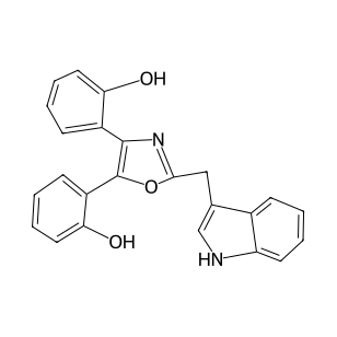 Oc1ccccc1-c1nc(Cc2c[nH]c3ccccc23)oc1-c1ccccc1O